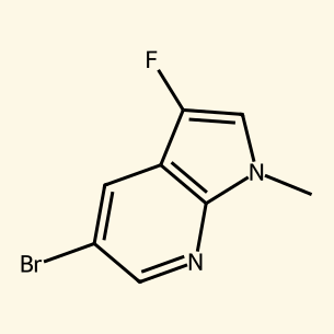 Cn1cc(F)c2cc(Br)cnc21